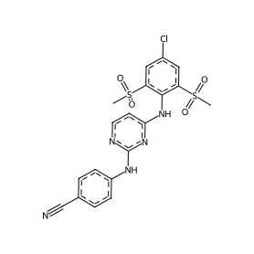 CS(=O)(=O)c1cc(Cl)cc(S(C)(=O)=O)c1Nc1ccnc(Nc2ccc(C#N)cc2)n1